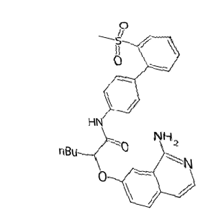 CCCCC(Oc1ccc2ccnc(N)c2c1)C(=O)Nc1ccc(-c2ccccc2S(C)(=O)=O)cc1